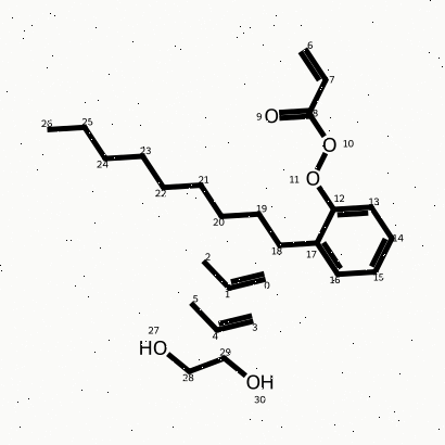 C=CC.C=CC.C=CC(=O)OOc1ccccc1CCCCCCCCC.OCCO